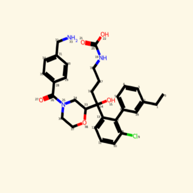 CCc1cccc(-c2c(Cl)cccc2C(O)(CCCNC(=O)O)C2CN(C(=O)c3ccc(CN)cc3)CCO2)c1